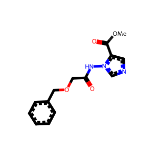 COC(=O)c1cncn1NC(=O)COCc1ccccc1